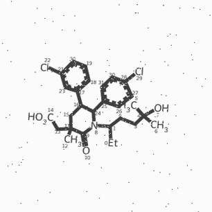 CCC(CCC(C)(C)O)N1C(=O)C(C)(CC(=O)O)CC(c2cccc(Cl)c2)C1c1ccc(Cl)cc1